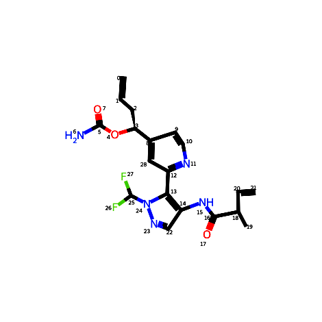 C=CC[C@H](OC(N)=O)c1ccnc(-c2c(NC(=O)C(C)C=C)cnn2C(F)F)c1